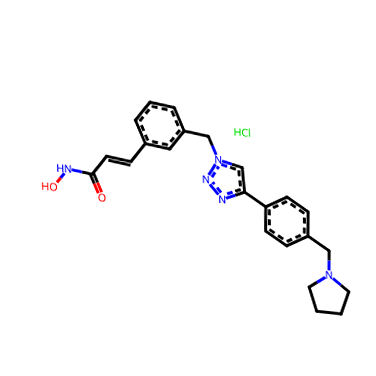 Cl.O=C(/C=C/c1cccc(Cn2cc(-c3ccc(CN4CCCC4)cc3)nn2)c1)NO